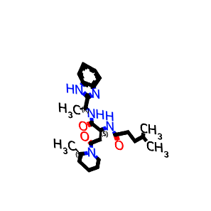 CC(C)CCC(=O)N[C@@H](CC(=O)N1CCCC[C@@H]1C)C(=O)N[C@H](C)c1nc2ccccc2[nH]1